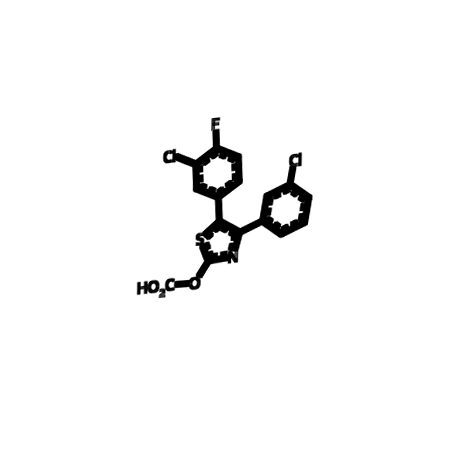 O=C(O)Oc1nc(-c2cccc(Cl)c2)c(-c2ccc(F)c(Cl)c2)s1